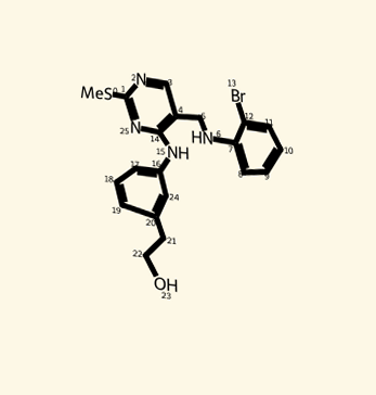 CSc1ncc(CNc2ccccc2Br)c(Nc2cccc(CCO)c2)n1